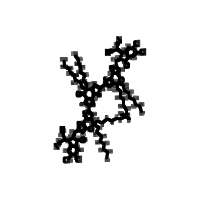 CCCCCCCCC1(CCCCCCCC)Oc2cc(/C=C3\C(=O)c4cc(Cl)c(Cl)cc4C3=C(C#N)C#N)sc2-c2sc(-c3cc4c(s3)-c3sc(-c5cc6c(s5)-c5sc(/C=C7\C(=O)c8cc(Cl)c(Cl)cc8C7=C(C#N)C#N)cc5OC6(CCCCCCCC)CCCCCCCC)cc3C(CCCCCCCC)(CCCCCCCC)C4=O)cc21